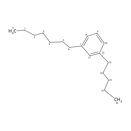 CCCCCCCc1cccc(CCCCC)c1